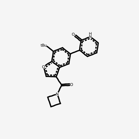 CC(C)(C)c1cc(-c2ccc[nH]c2=O)cc2c(C(=O)N3CCC3)coc12